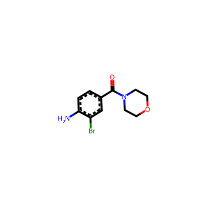 Nc1ccc(C(=O)N2CCOCC2)cc1Br